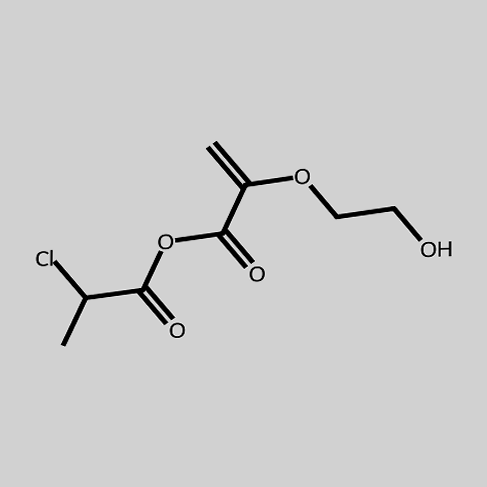 C=C(OCCO)C(=O)OC(=O)C(C)Cl